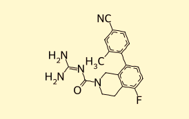 Cc1cc(C#N)ccc1-c1ccc(F)c2c1CN(C(=O)N=C(N)N)CC2